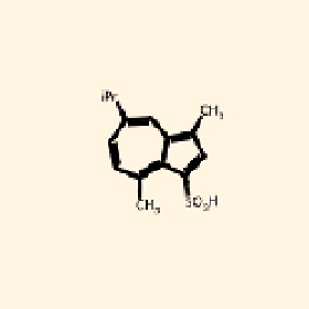 Cc1cc(S(=O)(=O)O)c2c(C)ccc(C(C)C)cc1-2